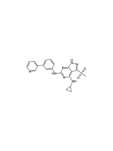 CS(=O)(=O)c1n[nH]c2nc(Nc3cccc(-c4cccnc4)c3)nc(NC3CC3)c12